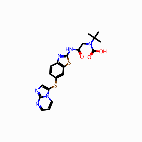 CC(C)(C)N(CC(=O)Nc1nc2ccc(Sc3cnc4ncccn34)cc2s1)C(=O)O